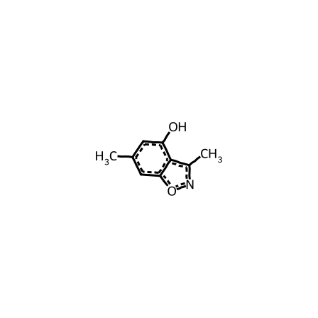 Cc1cc(O)c2c(C)noc2c1